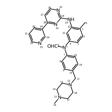 Cc1ccc(N(C=O)c2ccc(CN3CCN(C)CC3)cc2)cc1Nc1nccc(-c2cccnc2)n1